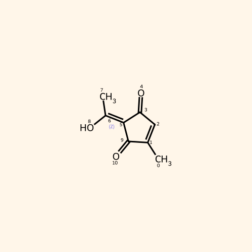 CC1=CC(=O)/C(=C(\C)O)C1=O